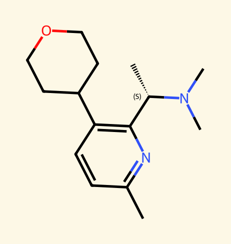 Cc1ccc(C2CCOCC2)c([C@H](C)N(C)C)n1